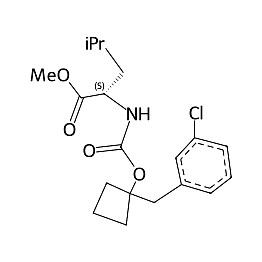 COC(=O)[C@H](CC(C)C)NC(=O)OC1(Cc2cccc(Cl)c2)CCC1